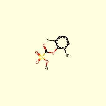 CCOS(=O)(=O)C(=O)Oc1c(C(C)C)cccc1C(C)C